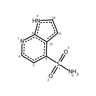 NS(=O)(=O)c1ccnc2[nH]ccc12